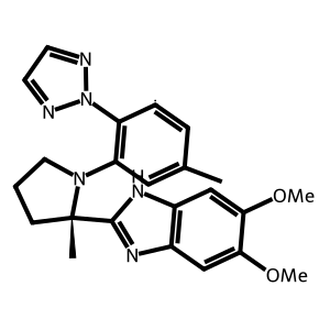 COc1cc2nc([C@]3(C)CCCN3c3cc(C)c[c]c3-n3nccn3)[nH]c2cc1OC